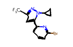 FC(F)(F)c1cc(-c2cccc(Br)n2)n(C2CC2)n1